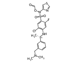 C[C@H](Nc1cc(F)c(S(=O)(=O)N(OC=O)c2cscn2)cc1Cl)c1cccc(CN(C)C)c1